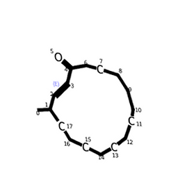 CC1/C=C/C(=O)CCCCCCCCCCCC1